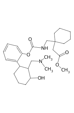 COC(=O)CC1(CNC(=O)Oc2ccccc2C2CCCC(O)C2CN(C)C)CCCCC1